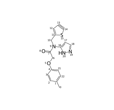 Cc1ccc(OCC(=O)N(Cc2cc#cs2)c2ccn[nH]2)cc1